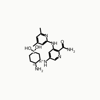 Cc1cc(C)nc(Nc2cc(N[C@H]3CS(O)(O)CC[C@@H]3N)cnc2C(N)=O)c1